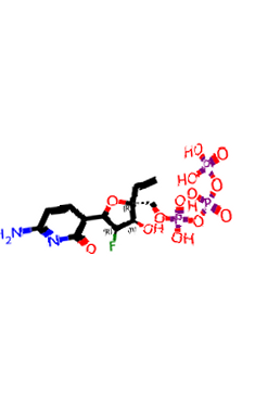 C=C[C@]1(COP(=O)(O)OP(=O)(O)OP(=O)(O)O)OC(C2C=CC(N)=NC2=O)[C@H](F)[C@@H]1O